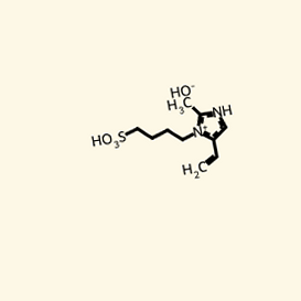 C=Cc1c[nH]c(C)[n+]1CCCCS(=O)(=O)O.[OH-]